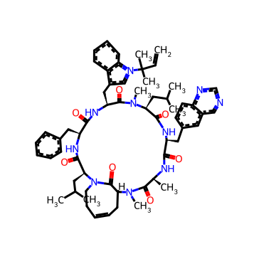 C=CC(C)(C)n1cc(C[C@@H]2NC(=O)[C@H](Cc3ccccc3)NC(=O)[C@H](CC(C)C)N3CC/C=C\C[C@@H](C3=O)N(C)C(=O)[C@H](C)NC(=O)[C@H](Cc3ccc4ncncc4c3)NC(=O)[C@H](CC(C)C)N(C)C2=O)c2ccccc21